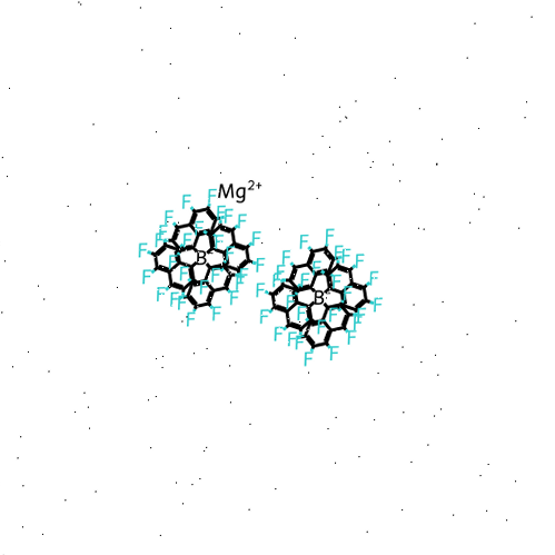 Fc1c(F)c(F)c2c([B-](c3c(F)c(F)c(F)c4c(F)c(F)c(F)c(F)c34)(c3c(F)c(F)c(F)c4c(F)c(F)c(F)c(F)c34)c3c(F)c(F)c(F)c4c(F)c(F)c(F)c(F)c34)c(F)c(F)c(F)c2c1F.Fc1c(F)c(F)c2c([B-](c3c(F)c(F)c(F)c4c(F)c(F)c(F)c(F)c34)(c3c(F)c(F)c(F)c4c(F)c(F)c(F)c(F)c34)c3c(F)c(F)c(F)c4c(F)c(F)c(F)c(F)c34)c(F)c(F)c(F)c2c1F.[Mg+2]